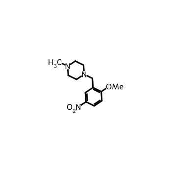 COc1ccc([N+](=O)[O-])cc1CN1CCN(C)CC1